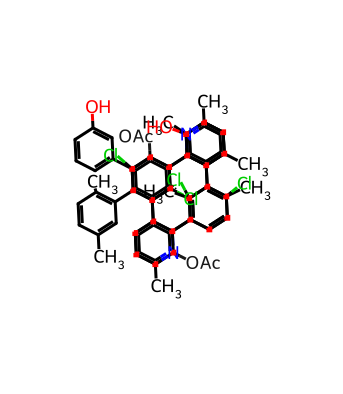 CC(=O)Oc1cccc(-c2[c]c(-c3cc(C)ccc3C)c(OC(C)=O)c(-c3cccc(O)c3)c2-c2cc(C)ccc2C)c1-c1ccc(C)c(-c2cccc(O)c2-c2cc(Cl)cc(-c3ccc(C)nc3-c3ccc(Cl)c(-c4ccc(C)nc4)c3Cl)c2Cl)c1C